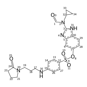 O=CN(c1nc2cc(OS(=O)(=O)c3ccc(NCCCN4CCCC4=O)cc3)ccc2[nH]1)C1CC1